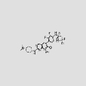 CCC(F)(F)CS(=O)(=O)Nc1c(F)cc(-c2cc3cnc(N[C@H]4CC[C@H](N(C)C)CC4)nc3n(C(C)C)c2=O)c(F)c1F